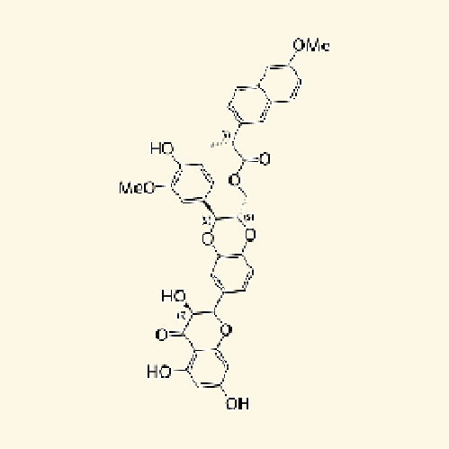 COc1ccc2cc([C@@H](C)C(=O)OC[C@@H]3Oc4ccc(C5Oc6cc(O)cc(O)c6C(=O)[C@H]5O)cc4O[C@H]3c3ccc(O)c(OC)c3)ccc2c1